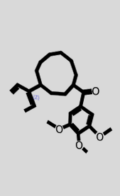 C=C/C(=C\C)C1CCCCCCC(C(=O)c2cc(OC)c(OC)c(OC)c2)CC1